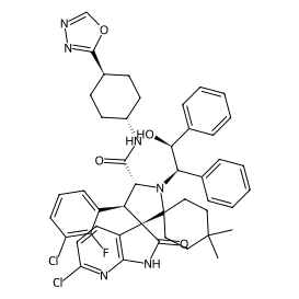 CC1(C)CCC2(CC1)N([C@H](c1ccccc1)[C@@H](O)c1ccccc1)[C@@H](C(=O)N[C@H]1CC[C@H](c3nnco3)CC1)[C@H](c1cccc(Cl)c1F)[C@@]21C(=O)Nc2nc(Cl)ccc21